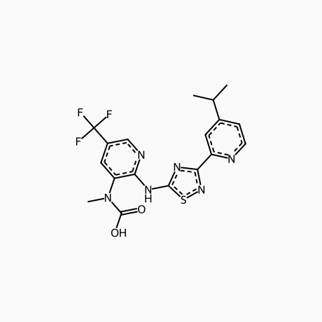 CC(C)c1ccnc(-c2nsc(Nc3ncc(C(F)(F)F)cc3N(C)C(=O)O)n2)c1